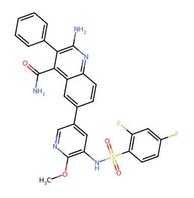 COc1ncc(-c2ccc3nc(N)c(-c4ccccc4)c(C(N)=O)c3c2)cc1NS(=O)(=O)c1ccc(F)cc1F